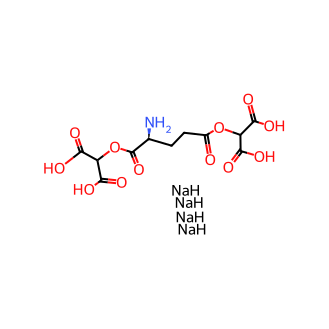 N[C@@H](CCC(=O)OC(C(=O)O)C(=O)O)C(=O)OC(C(=O)O)C(=O)O.[NaH].[NaH].[NaH].[NaH]